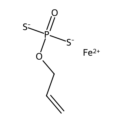 C=CCOP(=O)([S-])[S-].[Fe+2]